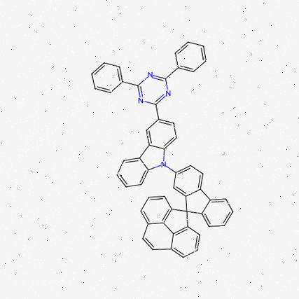 c1ccc(-c2nc(-c3ccccc3)nc(-c3ccc4c(c3)c3ccccc3n4-c3ccc4c(c3)C3(c5ccccc5-4)c4cccc5ccc6cccc3c6c45)n2)cc1